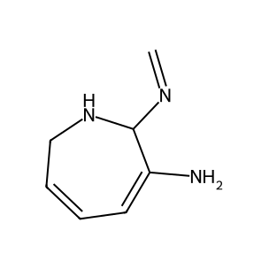 C=NC1NCC=CC=C1N